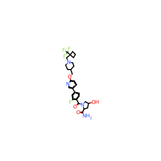 NC(=O)C1CC(O)CN1C(=O)c1ccc(-c2ccc(OCC3CCN(CC4(C(F)(F)F)CCC4)CC3)nc2)cc1F